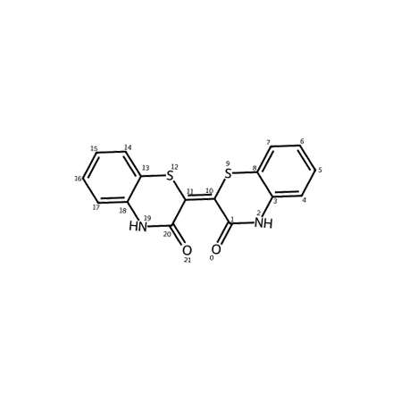 O=C1Nc2ccccc2S/C1=C1\Sc2ccccc2NC1=O